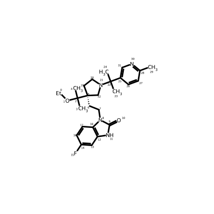 CCOC(C)(C)[C@@]1(CCn2c(=O)[nH]c3cc(F)ccc32)CCN(C(C)(C)c2ccc(C)nc2)C1